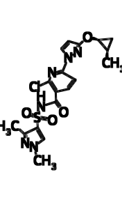 Cc1nn(C)cc1S(=O)(=O)NC(=O)c1ccc(-n2ccc(O[C@H]3C[C@H]3C)n2)nc1Cl